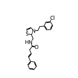 O=C(CC=Cc1ccccc1)NCC1SC=CN1CCc1cccc(Cl)c1